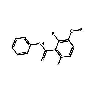 CCOc1ccc(F)c(C(=O)Nc2ccccc2)c1F